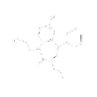 CC[C@H](C)[C@@H]1N=C(c2ccccc2)c2cc(Cl)ccc2N(CCN)C1=O